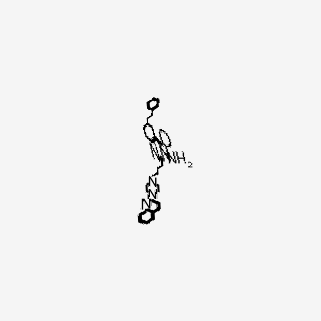 Nn1c(CCCCN2CCN(c3ccc4ccccc4n3)CC2)nc2c(c1=O)CC(CCc1ccccc1)CC2